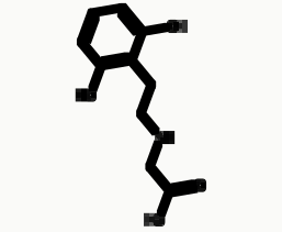 O=C(O)CNCCc1c(O)cccc1O